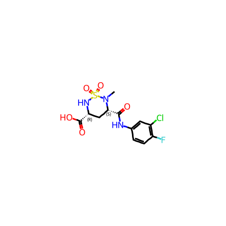 CN1[C@H](C(=O)Nc2ccc(F)c(Cl)c2)C[C@H](C(=O)O)NS1(=O)=O